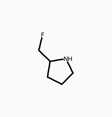 FCC1CCCN1